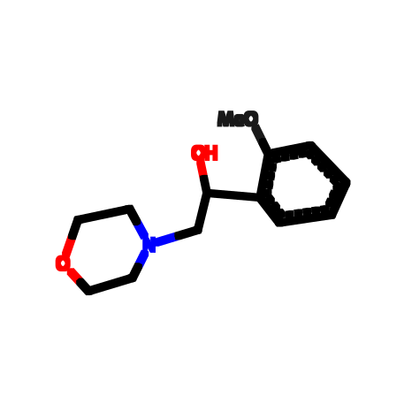 COc1ccccc1C(O)CN1CCOCC1